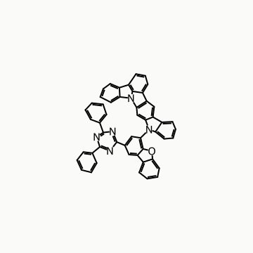 c1ccc(-c2nc(-c3ccccc3)nc(-c3cc(-n4c5ccccc5c5cc6c7cccc8c9ccccc9n(c6cc54)c87)c4oc5ccccc5c4c3)n2)cc1